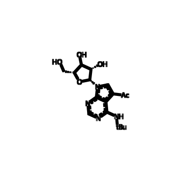 CC(=O)c1cn([C@@H]2O[C@H](CO)C(O)[C@@H]2O)c2ncnc(NC(C)(C)C)c12